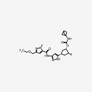 Cn1nc(COCC(F)(F)F)cc1C(=O)Nc1cc([C@H]2C[C@H](OC(=O)NC34CC(C3)C4)[C@@H](F)C2)[nH]n1